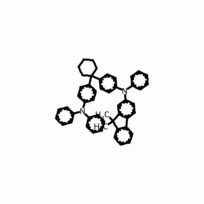 CC1(C)c2ccccc2-c2ccc(N(c3ccccc3)c3ccc(C4(c5ccc(N(c6ccccc6)c6ccccc6)cc5)CCCCC4)cc3)cc21